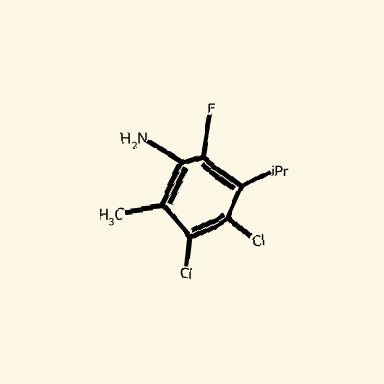 Cc1c(N)c(F)c(C(C)C)c(Cl)c1Cl